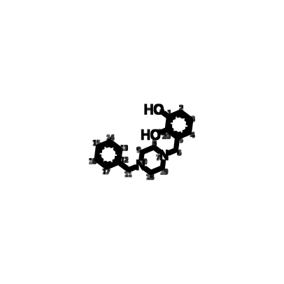 Oc1cccc(CN2CCN(Cc3ccccc3)CC2)c1O